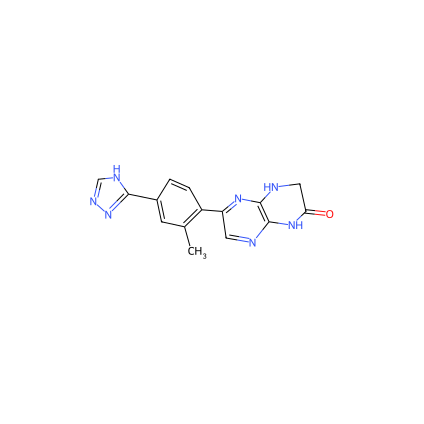 Cc1cc(-c2nnc[nH]2)ccc1-c1cnc2c(n1)NCC(=O)N2